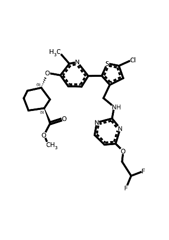 COC(=O)[C@H]1CCC[C@H](Oc2ccc(-c3sc(Cl)cc3CNc3nccc(OCC(F)F)n3)nc2C)C1